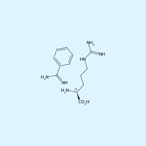 N=C(N)NCCC[C@H](N)C(=O)O.N=C(N)c1ccccc1